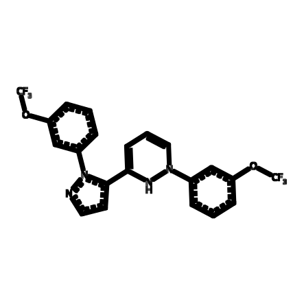 FC(F)(F)Oc1cccc(N2C=CC=C(c3ccnn3-c3cccc(OC(F)(F)F)c3)N2)c1